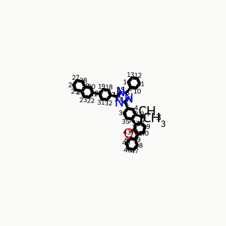 CC1(C)c2cc(-c3nc(-c4ccccc4)nc(-c4ccc(-c5ccc6ccccc6c5)cc4)n3)ccc2-c2c1ccc1c2oc2ccccc21